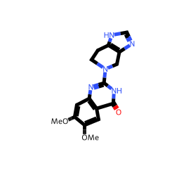 COc1cc2nc(N3CCc4[nH]cnc4C3)[nH]c(=O)c2cc1OC